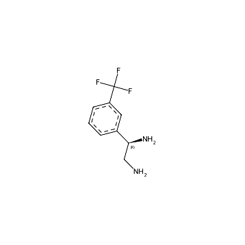 NC[C@H](N)c1cccc(C(F)(F)F)c1